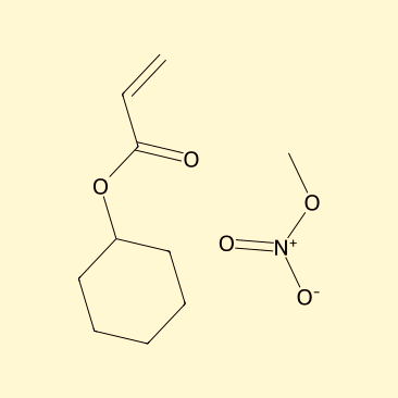 C=CC(=O)OC1CCCCC1.CO[N+](=O)[O-]